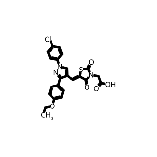 CCOc1ccc(-c2nn(-c3ccc(Cl)cc3)cc2/C=C2\SC(=O)N(CC(=O)O)C2=O)cc1